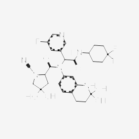 CC1(O)CC(C(=O)N(c2ccc3c(c2)NC(C)(C)CC3)C(C(=O)NC2CCC(F)(F)CC2)c2cncc(F)c2)N(C#N)C1